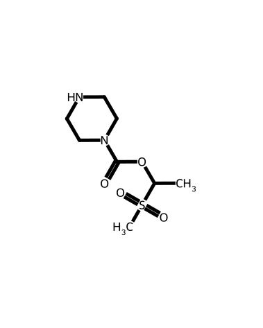 CC(OC(=O)N1CCNCC1)S(C)(=O)=O